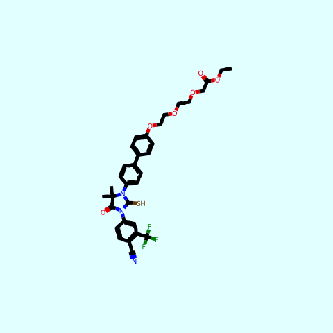 CCOC(=O)COCCOCCOc1ccc(-c2ccc(N3C(S)N(c4ccc(C#N)c(C(F)(F)F)c4)C(=O)C3(C)C)cc2)cc1